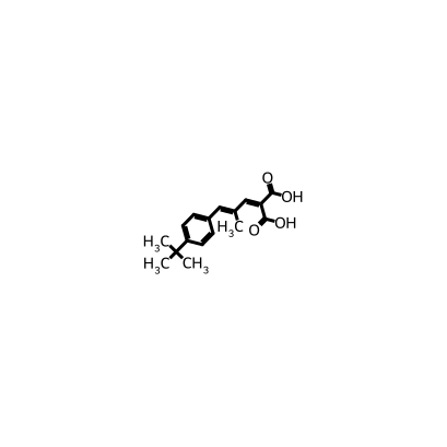 C/C(C=C(C(=O)O)C(=O)O)=C\c1ccc(C(C)(C)C)cc1